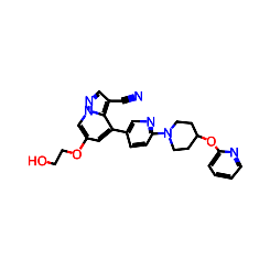 N#Cc1cnn2cc(OCCO)cc(-c3ccc(N4CCC(Oc5ccccn5)CC4)nc3)c12